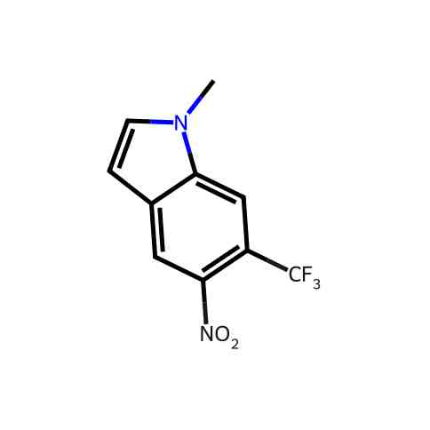 Cn1ccc2cc([N+](=O)[O-])c(C(F)(F)F)cc21